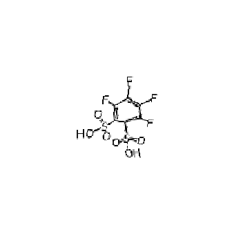 O=S(=O)(O)c1c(F)c(F)c(F)c(F)c1S(=O)(=O)O